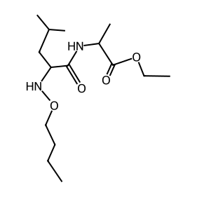 CCCCONC(CC(C)C)C(=O)NC(C)C(=O)OCC